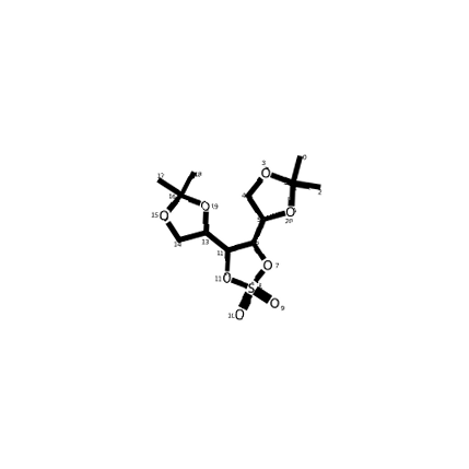 CC1(C)OCC(C2OS(=O)(=O)OC2C2COC(C)(C)O2)O1